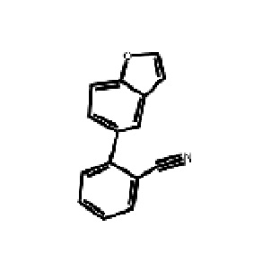 N#Cc1ccccc1-c1ccc2occc2c1